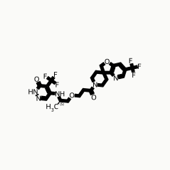 C[C@@H](COCCC(=O)N1CCC2(CC1)COc1cc(C(F)(F)F)cnc12)Nc1cn[nH]c(=O)c1C(F)(F)F